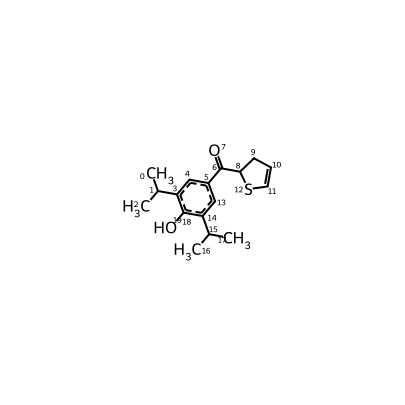 CC(C)c1cc(C(=O)C2CC=CS2)cc(C(C)C)c1O